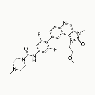 COCCn1c(=O)n(C)c2cnc3ccc(-c4c(F)cc(NC(=O)N5CCN(C)CC5)cc4F)cc3c21